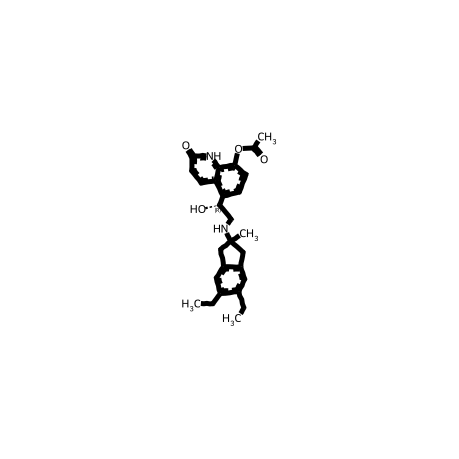 CCc1cc2c(cc1CC)CC(C)(NC[C@H](O)c1ccc(OC(C)=O)c3[nH]c(=O)ccc13)C2